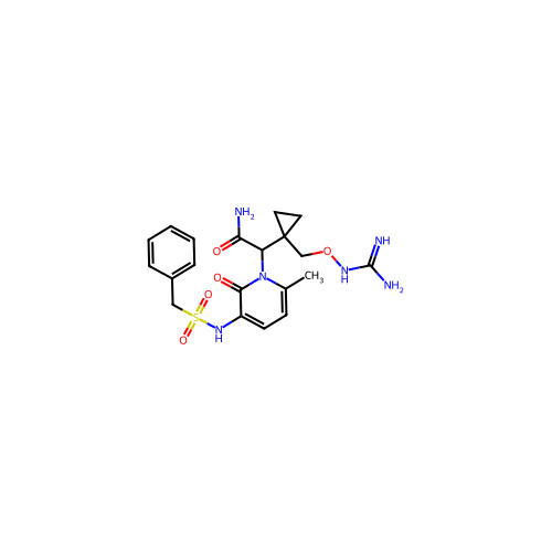 Cc1ccc(NS(=O)(=O)Cc2ccccc2)c(=O)n1C(C(N)=O)C1(CONC(=N)N)CC1